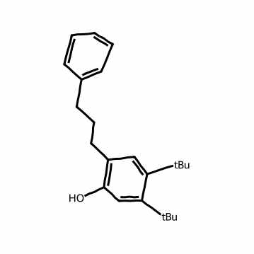 CC(C)(C)c1cc(O)c(CCCc2ccccc2)cc1C(C)(C)C